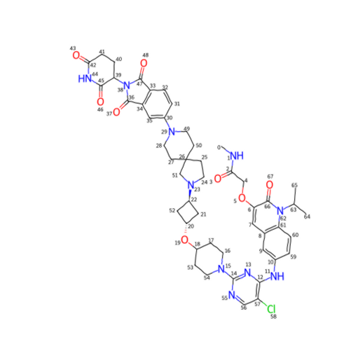 CNC(=O)COc1cc2cc(Nc3nc(N4CCC(O[C@H]5C[C@H](N6CCC7(CCN(c8ccc9c(c8)C(=O)N(C8CCC(=O)NC8=O)C9=O)CC7)C6)C5)CC4)ncc3Cl)ccc2n(C(C)C)c1=O